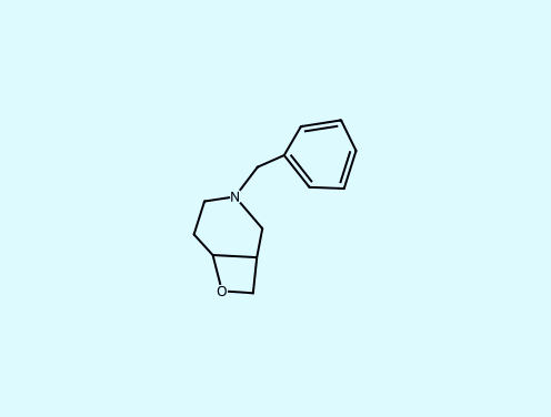 c1ccc(CN2CCC3OCC3C2)cc1